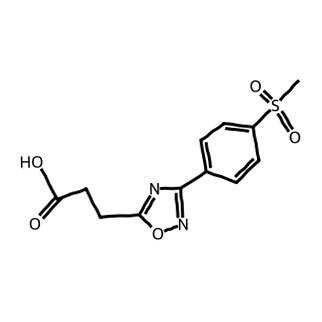 CS(=O)(=O)c1ccc(-c2noc(CCC(=O)O)n2)cc1